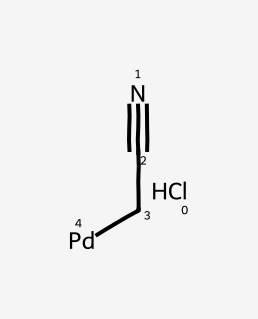 Cl.N#C[CH2][Pd]